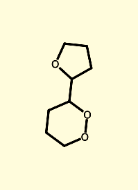 C1COC(C2CCCOO2)C1